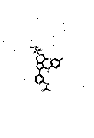 CNS(=O)(=O)N1CC(=O)c2c([nH]c(-c3ccnc(NC(C)=O)c3)c2Nc2ccc(F)cc2)C1